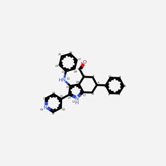 O=CC1CC(c2ccccc2)Cc2[nH]c(-c3ccncc3)c(Nc3ccccc3)c21